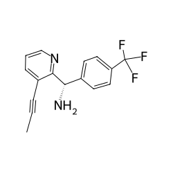 CC#Cc1cccnc1[C@@H](N)c1ccc(C(F)(F)F)cc1